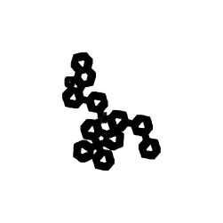 c1ccc(-c2cccc(-c3ccc(N(c4cccc(-c5cccc6oc7c8ccccc8ccc7c56)c4)c4cccc5c4-c4ccccc4C5(c4ccccc4)c4ccccc4)cc3)c2)cc1